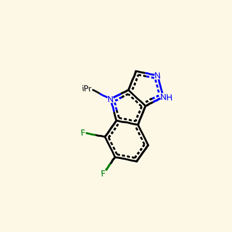 CC(C)n1c2cn[nH]c2c2ccc(F)c(F)c21